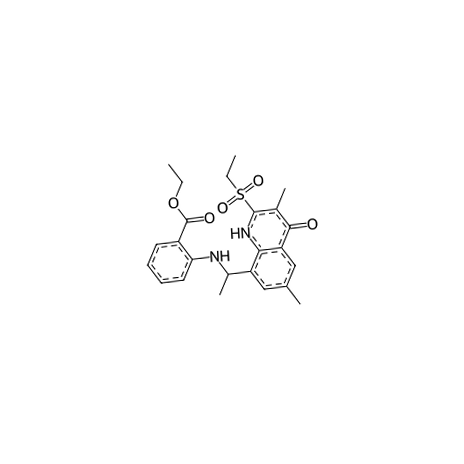 CCOC(=O)c1ccccc1NC(C)c1cc(C)cc2c(=O)c(C)c(S(=O)(=O)CC)[nH]c12